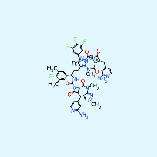 CC[C@@H](NC(=O)N1C(=O)[C@H](Cc2ccnc(N)c2)[C@H]1C(=O)N(C)c1c(CC[C@@H](NC(=O)N2C(=O)[C@H](Cc3ccnc(N)c3)[C@H]2C(=O)N(C)c2ccn(C)n2)c2cc(C)c(F)c(C)c2)cnn1C)c1cc(F)c(F)c(F)c1